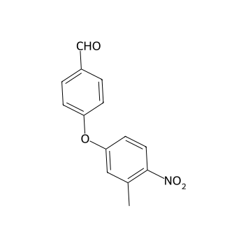 Cc1cc(Oc2ccc(C=O)cc2)ccc1[N+](=O)[O-]